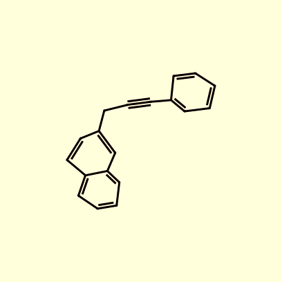 C(#Cc1ccccc1)Cc1ccc2ccccc2c1